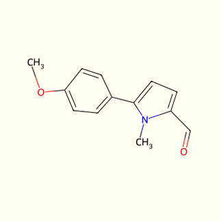 COc1ccc(-c2ccc(C=O)n2C)cc1